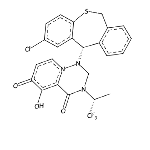 C[C@@H](N1CN([C@H]2c3ccccc3CSc3ccc(Cl)cc32)n2ccc(=O)c(O)c2C1=O)C(F)(F)F